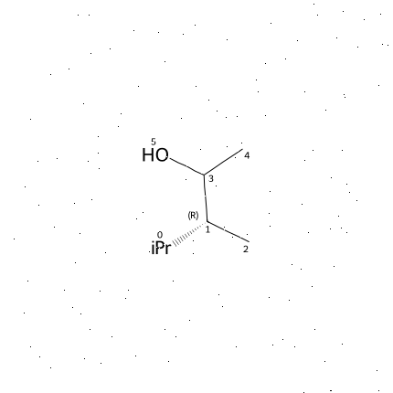 CC(C)[C@@H](C)C(C)O